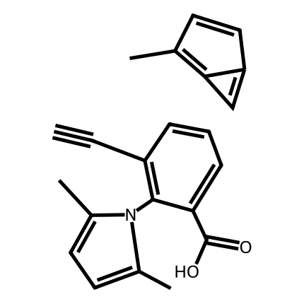 C#Cc1cccc(C(=O)O)c1-n1c(C)ccc1C.Cc1ccc2cc1-2